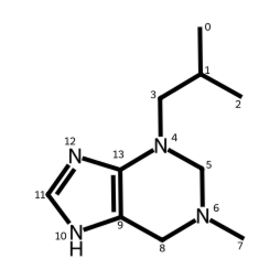 CC(C)CN1CN(C)Cc2[nH]cnc21